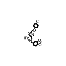 CC(C)CN(Cc1ccc2c(c1)OCO2)Cc1csc(COc2ccc(Cl)cc2)n1